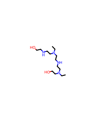 CCN(CCO)CCNCCN(CC)CCNCCO